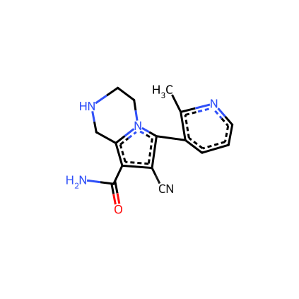 Cc1ncccc1-c1c(C#N)c(C(N)=O)c2n1CCNC2